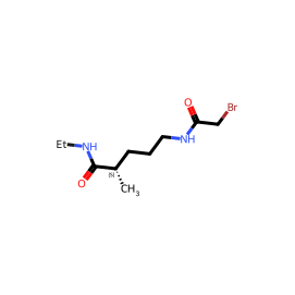 CCNC(=O)[C@@H](C)CCCNC(=O)CBr